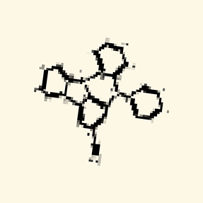 N#Cc1cc2c3c(c1)N(c1ccccc1)c1ccccc1B3c1ccccc1-2